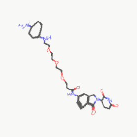 N[C@H]1CC[C@@H](NCCOCCOCCOCCC(=O)Nc2ccc3c(c2)CN(C2CCC(=O)NC2=O)C3=O)CC1